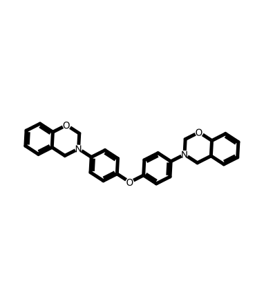 C1=CC2CN(c3ccc(Oc4ccc(N5COc6ccccc6C5)cc4)cc3)COC2C=C1